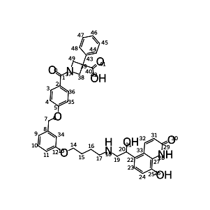 O=C(c1ccc(OCc2cccc(OCCCCNCC(O)c3ccc(O)c4[nH]c(=O)ccc34)c2)cc1)N1CC(C(=O)O)(c2ccccc2)C1